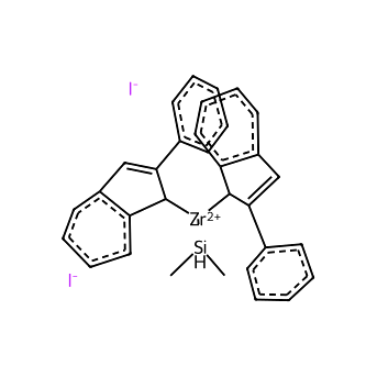 C[SiH](C)[Zr+2]([CH]1C(c2ccccc2)=Cc2ccccc21)[CH]1C(c2ccccc2)=Cc2ccccc21.[I-].[I-]